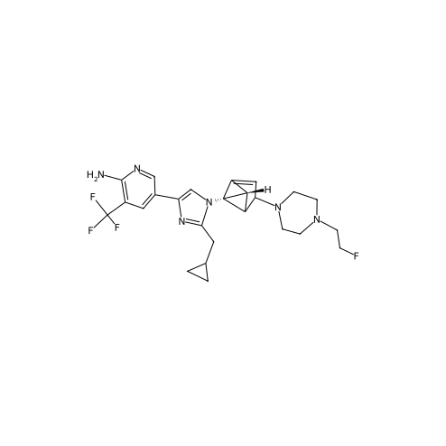 Nc1ncc(-c2cn([C@@]34C5=CC(N6CCN(CCF)CC6)C3[C@@H]54)c(CC3CC3)n2)cc1C(F)(F)F